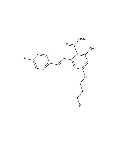 COC(=O)c1c(O)cc(OCCCF)cc1C=Cc1ccc(F)cc1